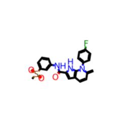 C=C1C=Cc2cc(C(=O)Nc3cccc(S(C)(=O)=O)c3)[nH]c2N1c1ccc(F)cc1